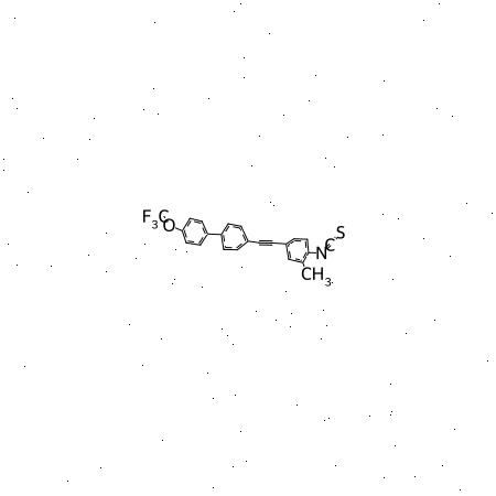 Cc1cc(C#Cc2ccc(-c3ccc(OC(F)(F)F)cc3)cc2)ccc1N=C=S